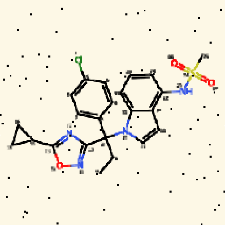 CCC(c1ccc(Cl)cc1)(c1noc(C2CC2)n1)n1ccc2c(NS(C)(=O)=O)cccc21